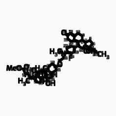 CC#C[C@]1(O)CCC2C3CCC4=CC(=O)CCC4=C3[C@@H](c3ccc(N(C)CCO[C@H]4CC[C@@]5(C)[C@@H](C4)C[C@@H](O)[C@@H]4[C@@H]5C[C@H](O)[C@]5(C)C([C@H](C)CCC(=O)OC)CC[C@@H]45)c(F)c3)C[C@@]21C